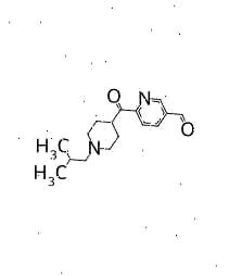 CC(C)CN1CCC(C(=O)c2ccc(C=O)cn2)CC1